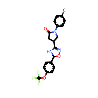 O=C1CC(C2=NOC(c3ccc(OC(F)(F)F)cc3)N2)CN1c1ccc(Cl)cc1